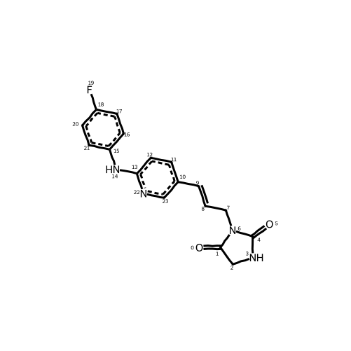 O=C1CNC(=O)N1CC=Cc1ccc(Nc2ccc(F)cc2)nc1